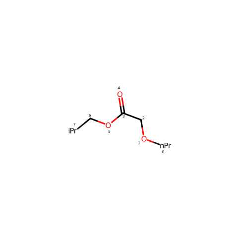 CCCOCC(=O)OCC(C)C